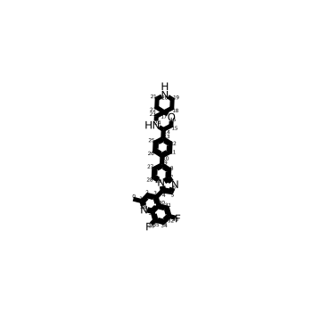 Cc1cc(-c2cnc3cc(-c4ccc(C5COC6(CCNCC6)CN5)cc4)ccn23)c2cc(F)cc(F)c2n1